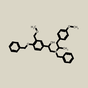 COCc1cc(C(O)CN(Cc2ccccc2)C(C)Cc2ccc(OC)cc2)ccc1OCc1ccccc1